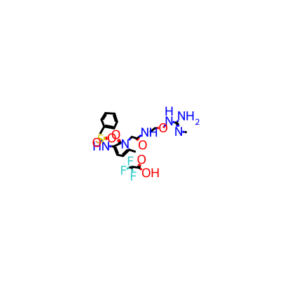 CN=C(N)NOCCNC(=O)Cn1c(C)ccc(NS(=O)(=O)Cc2ccccc2)c1=O.O=C(O)C(F)(F)F